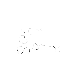 CCCC(=CCC/C=C/c1ccc(C2=CCC3=CN=CC=C(N4CC/C=C(\C(=O)[C@H]5CC[C@H](O)CC5)CCC4)C3=C2)cc1)CCC